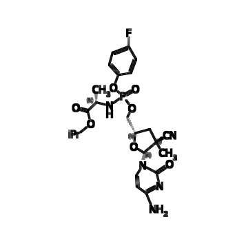 CC(C)OC(=O)[C@H](C)NP(=O)(OC[C@@H]1C[C@@](C)(C#N)[C@H](n2ccc(N)nc2=O)O1)Oc1ccc(F)cc1